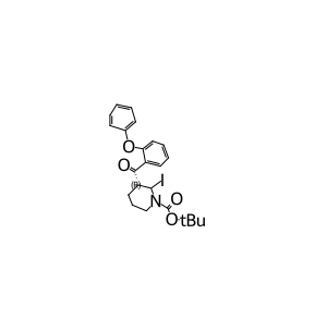 CC(C)(C)OC(=O)N1CCC[C@H](C(=O)c2ccccc2Oc2ccccc2)C1I